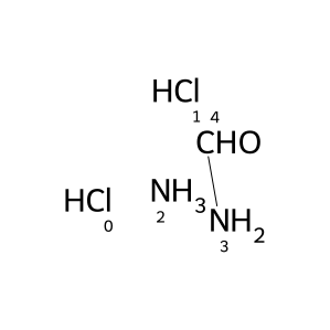 Cl.Cl.N.NC=O